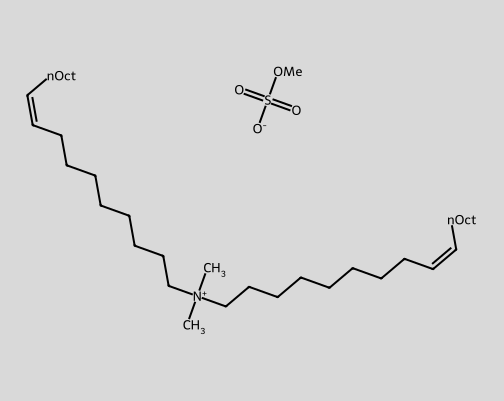 CCCCCCCC/C=C\CCCCCCCC[N+](C)(C)CCCCCCCC/C=C\CCCCCCCC.COS(=O)(=O)[O-]